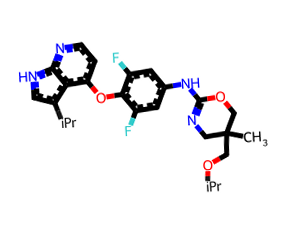 CC(C)OCC1(C)CN=C(Nc2cc(F)c(Oc3ccnc4[nH]cc(C(C)C)c34)c(F)c2)OC1